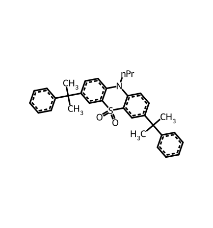 CCCN1c2ccc(C(C)(C)c3ccccc3)cc2S(=O)(=O)c2cc(C(C)(C)c3ccccc3)ccc21